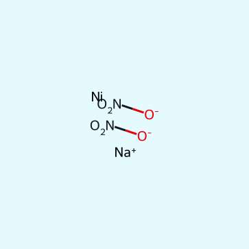 O=[N+]([O-])[O-].O=[N+]([O-])[O-].[Na+].[Ni]